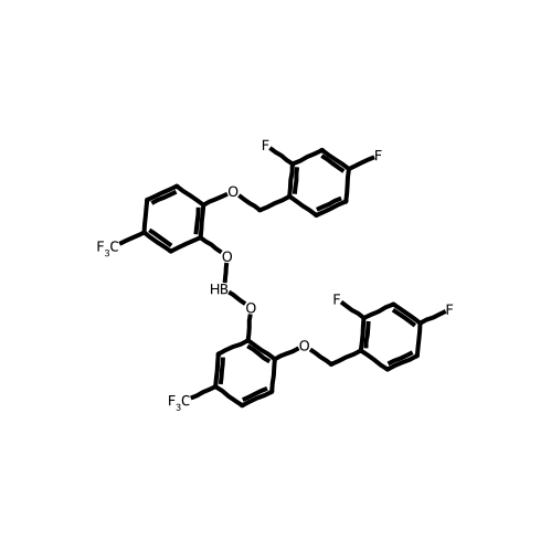 Fc1ccc(COc2ccc(C(F)(F)F)cc2OBOc2cc(C(F)(F)F)ccc2OCc2ccc(F)cc2F)c(F)c1